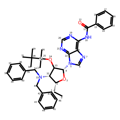 CC[C@H]1O[C@@H](n2cnc3c(NC(=O)c4ccccc4)ncnc32)C(O[Si](C)(C)C(C)(C)C)[C@H]1N(Cc1ccccc1)Cc1ccccc1